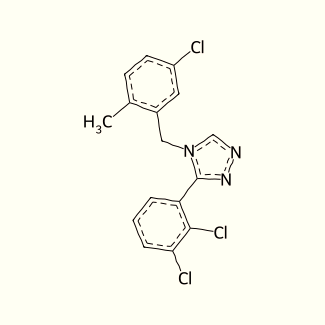 Cc1ccc(Cl)cc1Cn1cnnc1-c1cccc(Cl)c1Cl